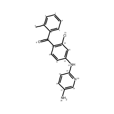 Cc1ccccc1C(=O)c1ccc(Nc2ccc(N)cn2)cc1Cl